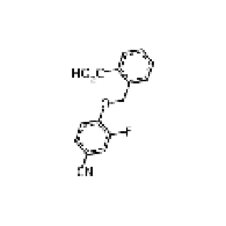 N#Cc1ccc(OCc2ccccc2C(=O)O)c(F)c1